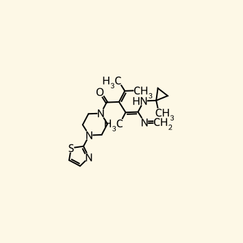 C=N/C(NC1(C)CC1)=C(\C)C(C(=O)N1CCN(c2nccs2)CC1)=C(C)C